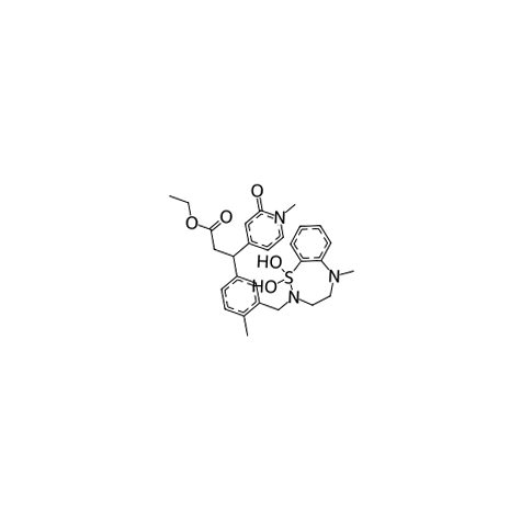 CCOC(=O)CC(c1ccc(C)c(CN2CCN(C)c3ccccc3S2(O)O)c1)c1ccn(C)c(=O)c1